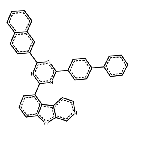 c1ccc(-c2ccc(-c3nc(-c4ccc5ccccc5c4)nc(-c4cccc5oc6cnccc6c45)n3)cc2)cc1